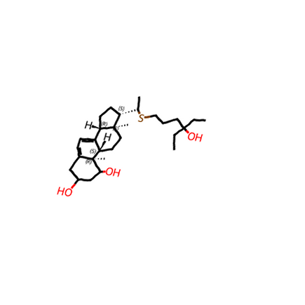 CCC(O)(CC)CCCSC(C)[C@H]1CC[C@H]2C3=CC=C4CC(O)CC(O)[C@]4(C)[C@H]3CC[C@]12C